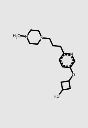 CN1CCN(CCCc2ccc(OC3CC(O)C3)cn2)CC1